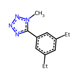 CCc1cc(CC)cc(-c2nnnn2C)c1